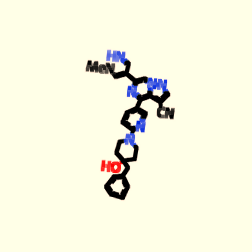 CN/C=C(\C=N)c1cn2ncc(C#N)c2c(-c2ccc(N3CCC(O)(Cc4ccccc4)CC3)nc2)n1